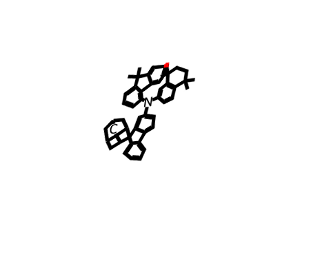 CC1(C)CCC(C)(C)c2cc(N(c3ccc4c(c3)C3(c5ccccc5-4)C4CC5CC6CC3C64C5)c3cccc4c3-c3ccccc3C4(C)C)ccc21